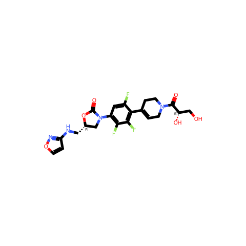 O=C([C@@H](O)CO)N1CC=C(c2c(F)cc(N3C[C@H](CNc4ccon4)OC3=O)c(F)c2F)CC1